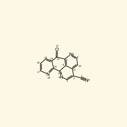 N#Cc1cnc2c3c(nccc13)C(=O)c1cccnc1-2